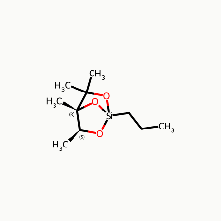 CCC[Si]12O[C@@H](C)[C@@](C)(O1)C(C)(C)O2